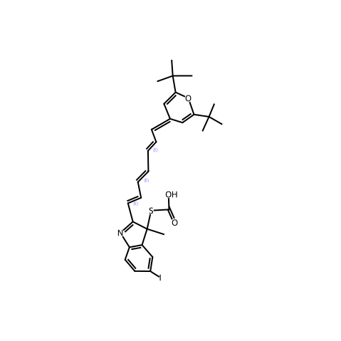 CC(C)(C)C1=CC(=C/C=C/C=C/C=C/C2=Nc3ccc(I)cc3C2(C)SC(=O)O)C=C(C(C)(C)C)O1